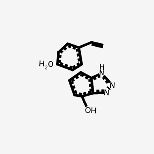 C=Cc1ccccc1.O.Oc1cccc2[nH]nnc12